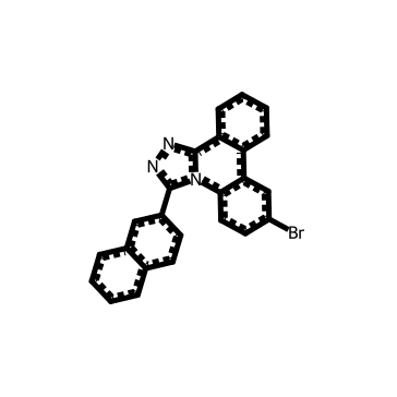 Brc1ccc2c(c1)c1ccccc1c1nnc(-c3ccc4ccccc4c3)n21